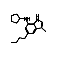 CCCCc1cc(NC2CCCC2)c2[nH]cc(C)c2c1